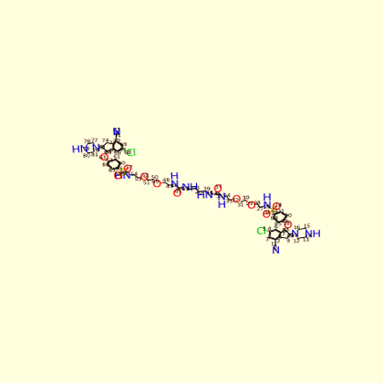 N#Cc1cc(Cl)cc2c1C[C@H](N1CCNCC1)[C@H]2Oc1ccc(S(=O)(=O)NCCOCCOCCNC(=O)NCCCCNC(=O)NCCOCCOCCNS(=O)(=O)c2ccc(O[C@H]3c4cc(Cl)cc(C#N)c4C[C@@H]3N3CCNCC3)cc2)cc1